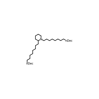 CCCCCCCCCCCCCCCCCCC1CCCCN1CCCCCCCCCCCCCCCCCC